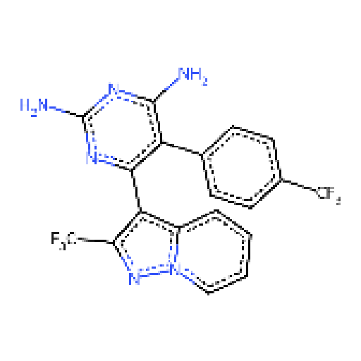 Nc1nc(N)c(-c2ccc(C(F)(F)F)cc2)c(-c2c(C(F)(F)F)nn3ccccc23)n1